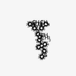 CC1(C)c2ccccc2-c2ccc(N(c3ccc4c(c3)C(C)(C)c3ccccc3-4)c3ccc4c(c3)C(C)(C)c3cc(-c5c6ccccc6c(-c6ccc7sc8ccccc8c7c6)c6ccccc56)ccc3-4)cc21